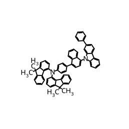 CC1(C)c2ccccc2-c2c(N(c3ccc(-c4ccc(-n5c6ccccc6c6ccc(-c7ccccc7)cc65)c5ccccc45)cc3)c3cccc4c3-c3ccccc3C4(C)C)cccc21